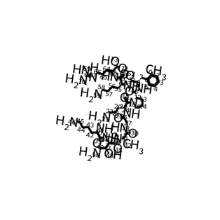 Cc1ccccc1C[C@H](NC(=O)[C@@H]1CCCN1C(=O)[C@@H](CCCN)NC(=O)CNC(=O)[C@H](C)NC(=O)[C@@H](NC(=O)[C@@H](N)CCCCN)[C@@H](O)CN)C(=O)N[C@@H](CCCCN)C(=O)N/C(=C\CCNC(=N)N)C(=O)O